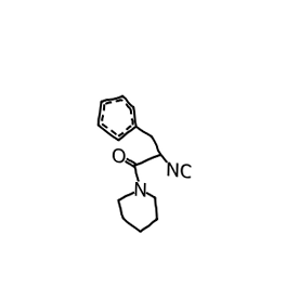 [C-]#[N+]C(Cc1ccccc1)C(=O)N1CCCCC1